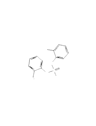 CCCc1ccccc1OP(=O)(Cl)Oc1ccccc1CCC